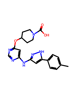 Cc1ccc(-c2cc(Nc3cc(OC4CCN(C(=O)O)CC4)ncn3)n[nH]2)cc1